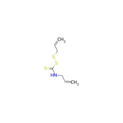 C=CCNC(=S)SSCC=C